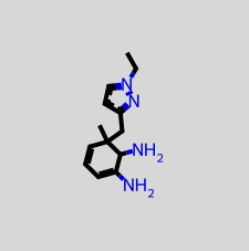 CCn1ccc(CC2(C)C=CC=C(N)C2N)n1